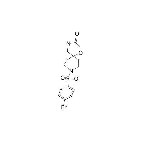 O=C1COC2(CCN(S(=O)(=O)c3ccc(Br)cc3)CC2)C[N]1